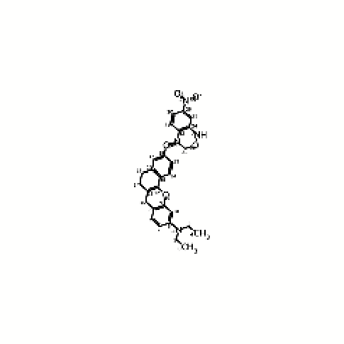 CCN(CC)c1ccc2c(c1)OC1=C(CCc3cc(ON4CONc5cc([N+](=O)[O-])ccc54)ccc31)C2